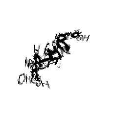 Cc1c(Oc2nccc3cc(CN4CCC(O)C4)cnc23)cccc1-c1cccc(C(=N)OC(=C/CCO)/C(C#N)=C\NC=O)c1C